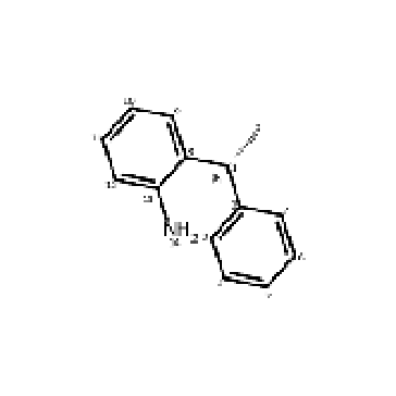 C[C@H](c1ccccc1)c1ccccc1N